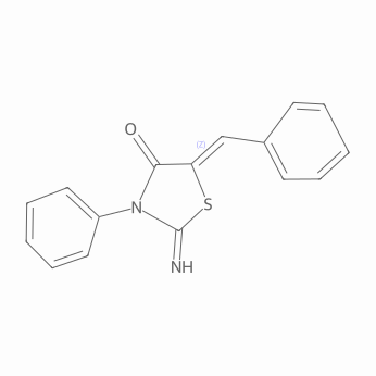 N=C1S/C(=C\c2ccccc2)C(=O)N1c1ccccc1